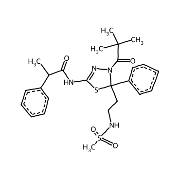 CC(C(=O)NC1=NN(C(=O)C(C)(C)C)C(CCNS(C)(=O)=O)(c2ccccc2)S1)c1ccccc1